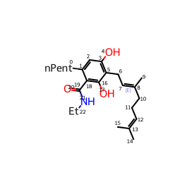 CCCCCc1cc(O)c(C/C=C(\C)CCC=C(C)C)c(O)c1C(=O)NCC